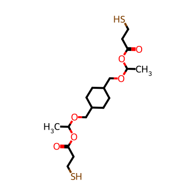 CC(OCC1CCC(COC(C)OC(=O)CCS)CC1)OC(=O)CCS